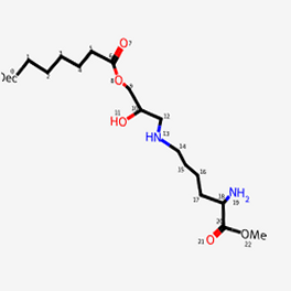 CCCCCCCCCCCCCCCC(=O)OCC(O)CNCCCCC(N)C(=O)OC